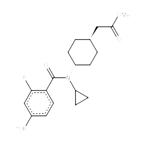 Bc1ccc(C(=O)N(C2CC2)[C@H]2CC[C@H](CC(=O)OC)CC2)c(F)c1